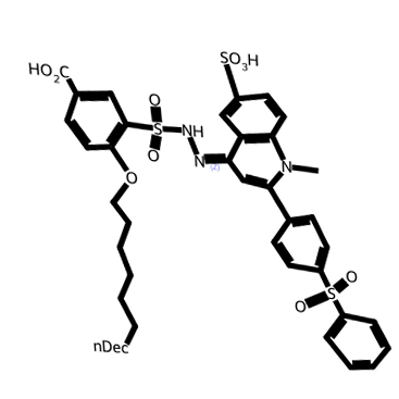 CCCCCCCCCCCCCCCCOc1ccc(C(=O)O)cc1S(=O)(=O)N/N=c1/cc(-c2ccc(S(=O)(=O)c3ccccc3)cc2)n(C)c2ccc(S(=O)(=O)O)cc12